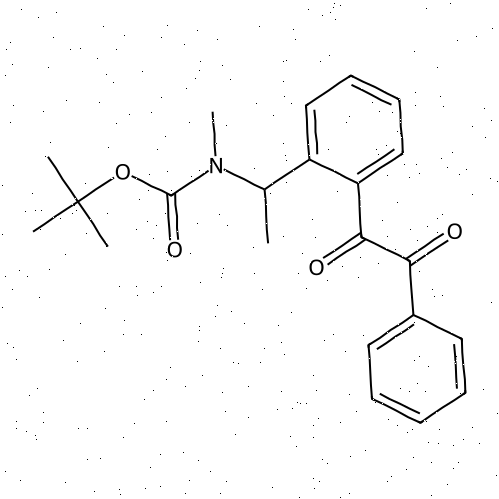 CC(c1ccccc1C(=O)C(=O)c1ccccc1)N(C)C(=O)OC(C)(C)C